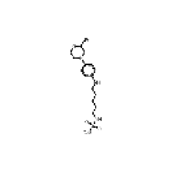 CC(C)C1CN(c2ccc(NCCCCCNS(=O)(=O)C(C)(C)C)cc2)CCO1